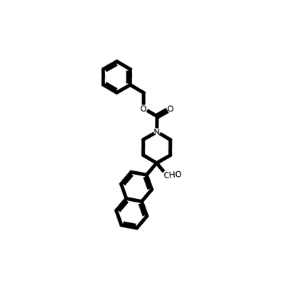 O=CC1(c2ccc3ccccc3c2)CCN(C(=O)OCc2ccccc2)CC1